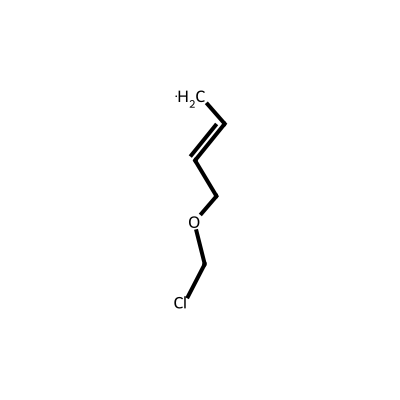 [CH2]C=CCOCCl